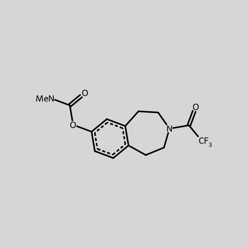 CNC(=O)Oc1ccc2c(c1)CCN(C(=O)C(F)(F)F)CC2